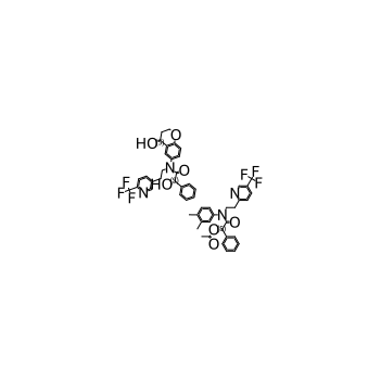 CC(=O)O[C@H](C(=O)N(CCc1ccc(C(F)(F)F)cn1)c1ccc(C)c(C)c1)c1ccccc1.O=C([C@@H](O)c1ccccc1)N(CCc1ccc(C(F)(F)F)nc1)c1ccc2c(c1)[C@@H](O)CCO2